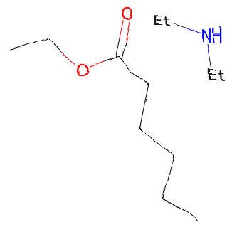 CCCCCC(=O)OCC.CCNCC